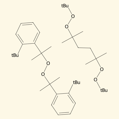 CC(C)(C)OOC(C)(C)CCC(C)(C)OOC(C)(C)C.CC(C)(C)c1ccccc1C(C)(C)OOC(C)(C)c1ccccc1C(C)(C)C